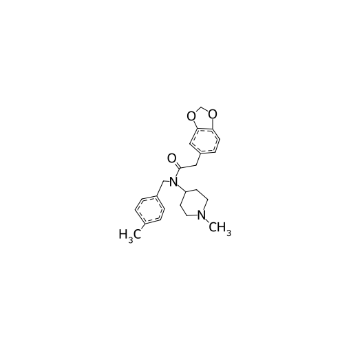 Cc1ccc(CN(C(=O)Cc2ccc3c(c2)OCO3)C2CCN(C)CC2)cc1